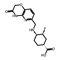 O=C1COc2ccc(CN[C@@H]3CC[C@@H](C(=O)O)C[C@@H]3F)nc2N1